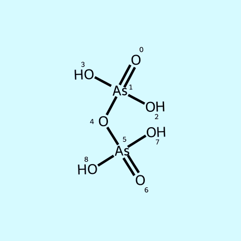 O=[As](O)(O)O[As](=O)(O)O